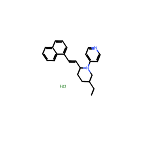 CCC1CCC(C=Cc2cccc3ccccc23)N(c2ccncc2)C1.Cl